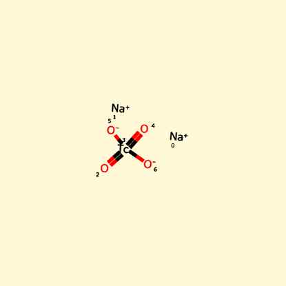 [Na+].[Na+].[O]=[Tc](=[O])([O-])[O-]